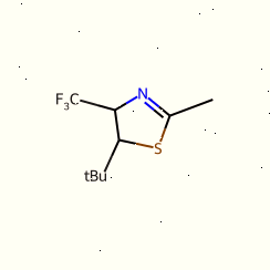 CC1=NC(C(F)(F)F)C(C(C)(C)C)S1